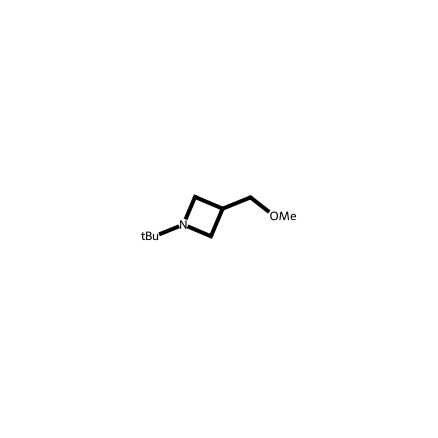 COCC1CN(C(C)(C)C)C1